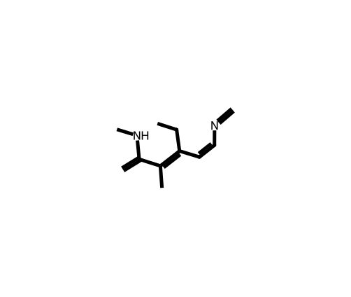 C=N/C=C\C(CC)=C(/C)C(=C)NC